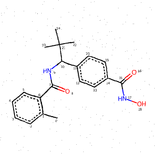 Cc1ccccc1C(=O)NC(c1ccc(C(=O)NO)cc1)C(C)(C)C